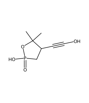 CC1(C)OP(=O)(O)CC1C#CO